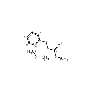 CCC.CCC(=O)CCc1ccccc1